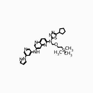 C[Si](C)(C)CCOCN(c1ccc2ncc(Nc3cncc(-n4cccn4)c3)cc2n1)c1nnc(C2CCCC2)s1